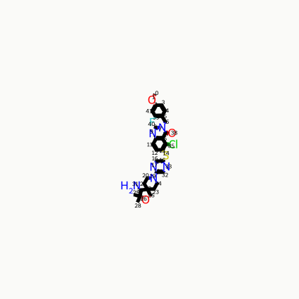 COc1ccc(Cn2cnc3ccc(Sc4cnc(N5CCC6(CC5)COC(C)(C)[C@H]6N)cn4)c(Cl)c3c2=O)c(F)c1